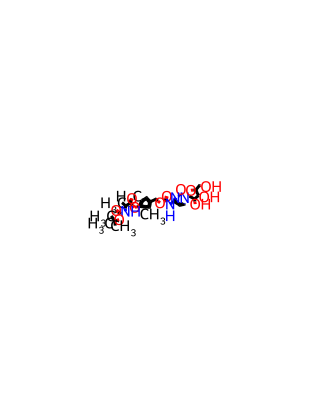 Cc1cc(COC(=O)Nc2ccn(C3OC(CO)C(O)C3O)c(=O)n2)cc(C)c1OC(=O)C(C)NC(=O)OC(C)(C)C